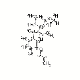 [2H]ON=C(C(=O)c1c([2H])c([2H])c([2H])c(OCC=C)c1[2H])c1nc(SC([2H])([2H])[2H])nc([2H])c1[2H]